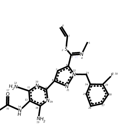 C=CS/C(=N\C)c1cc(-c2nc(N)c(NC(C)=O)c(N)n2)nn1Cc1ccccc1F